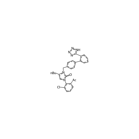 CCCCc1cn(-c2c(Cl)cccc2C(C)=O)c(=O)n1Cc1ccc(-c2ccccc2-c2nnn[nH]2)cc1